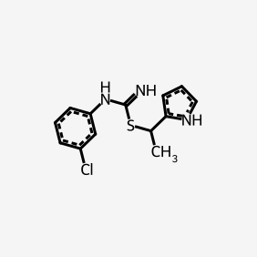 CC(SC(=N)Nc1cccc(Cl)c1)c1ccc[nH]1